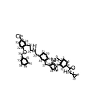 Cc1ccc(C(=O)NC2CC2)cc1-n1ncc(Cc2cccc(CNCCc3cc(Cl)ccc3OCc3ccccc3)c2)c1N